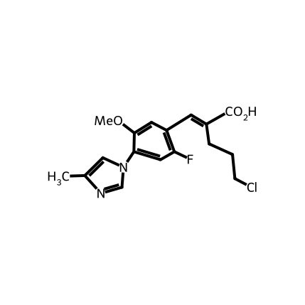 COc1cc(/C=C(\CCCCl)C(=O)O)c(F)cc1-n1cnc(C)c1